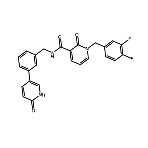 O=C(NCc1cccc(-c2ccc(=O)[nH]c2)c1)c1cccn(Cc2ccc(F)c(F)c2)c1=O